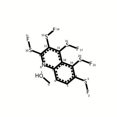 CO.FSc1ccc2nc(SF)c(SF)c(SF)c2c1SF